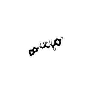 O=C(NCC(O)CNC1Cc2ccccc2C1)c1ccc(Cl)cc1